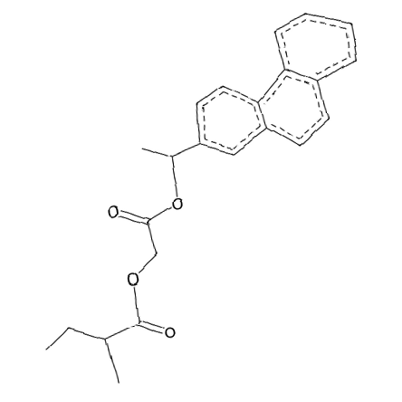 CCC(C)C(=O)OCC(=O)OC(C)c1ccc2c(ccc3ccccc32)c1